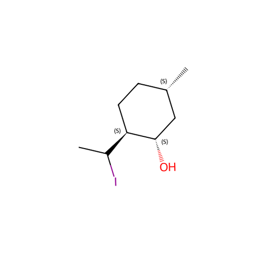 CC(I)[C@H]1CC[C@H](C)C[C@@H]1O